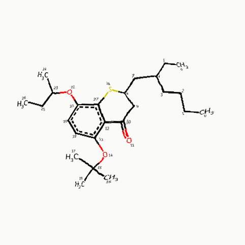 CCCCC(CC)CC1CC(=O)c2c(OC(C)(C)C)ccc(OC(C)CC)c2S1